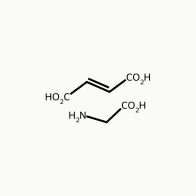 NCC(=O)O.O=C(O)C=CC(=O)O